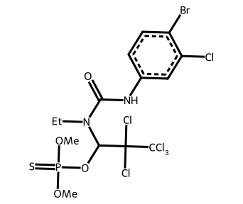 CCN(C(=O)Nc1ccc(Br)c(Cl)c1)C(OP(=S)(OC)OC)C(Cl)(Cl)C(Cl)(Cl)Cl